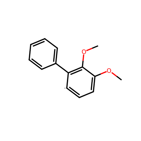 COc1cc[c]c(-c2ccccc2)c1OC